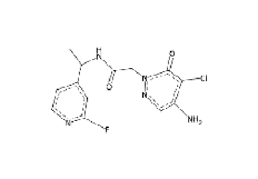 CC(NC(=O)Cn1ncc(N)c(Cl)c1=O)c1ccnc(F)c1